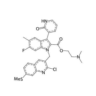 CSc1ccc2cc(Cn3c(C(=O)OCCN(C)C)c(-c4ccc[nH]c4=O)c4cc(C)c(F)cc43)c(Cl)nc2c1